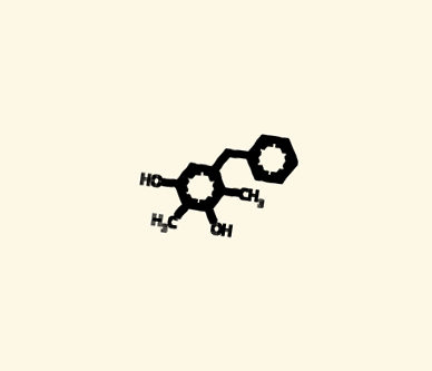 Cc1c(O)cc(Cc2ccccc2)c(C)c1O